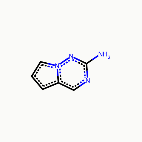 Nc1ncc2cccn2n1